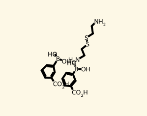 NCCSSCCN.O=C(O)c1cccc(B(O)O)c1.O=C(O)c1cccc(B(O)O)c1